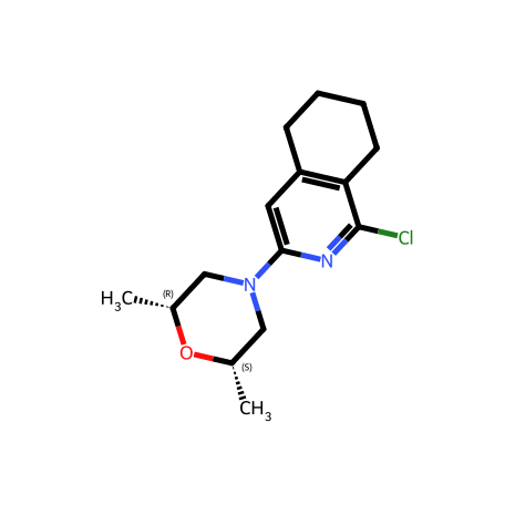 C[C@@H]1CN(c2cc3c(c(Cl)n2)CCCC3)C[C@H](C)O1